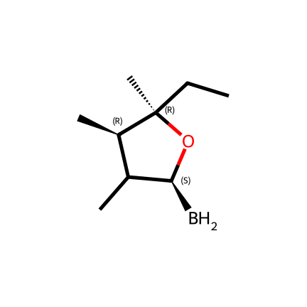 B[C@@H]1O[C@](C)(CC)[C@H](C)C1C